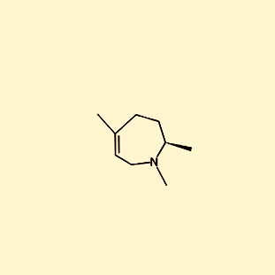 CC1=CCN(C)[C@H](C)CC1